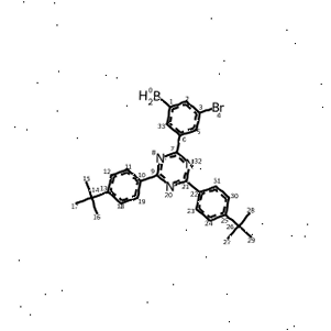 Bc1cc(Br)cc(-c2nc(-c3ccc(C(C)(C)C)cc3)nc(-c3ccc(C(C)(C)C)cc3)n2)c1